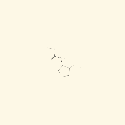 CC(C)(C)OC(=O)N[C@@H]1COCC1C(=O)O